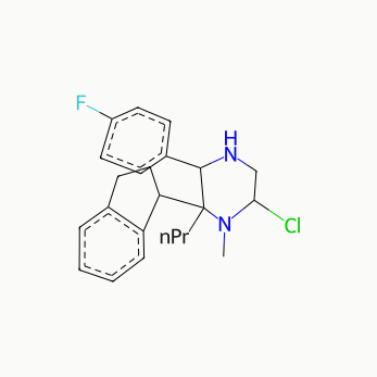 CCCC1(C2CCc3ccccc32)C(c2ccc(F)cc2)NCC(Cl)N1C